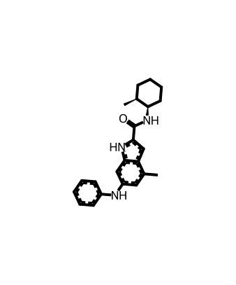 Cc1cc(Nc2ccccc2)cc2[nH]c(C(=O)N[C@@H]3CCCC[C@@H]3C)cc12